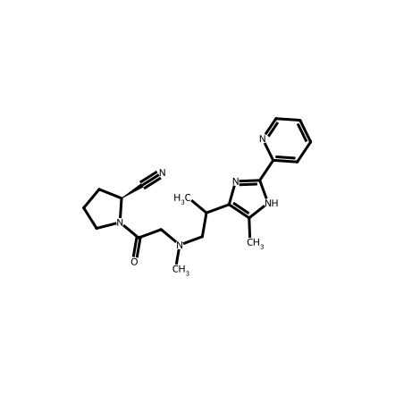 Cc1[nH]c(-c2ccccn2)nc1C(C)CN(C)CC(=O)N1CCC[C@H]1C#N